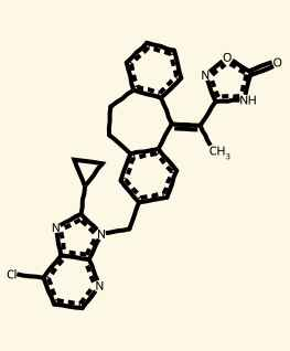 CC(=C1c2ccccc2CCc2cc(Cn3c(C4CC4)nc4c(Cl)ccnc43)ccc21)c1noc(=O)[nH]1